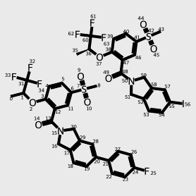 CC(Oc1ccc(S(C)(=O)=O)cc1C(=O)N1Cc2ccc(-c3ccc(F)cc3)cc2C1)C(F)(F)F.C[C@H](Oc1ccc(S(C)(=O)=O)cc1C(=O)N1Cc2ccc(I)cc2C1)C(F)(F)F